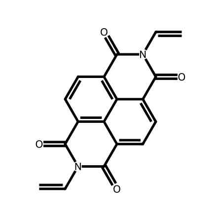 C=CN1C(=O)c2ccc3c4c(ccc(c24)C1=O)C(=O)N(C=C)C3=O